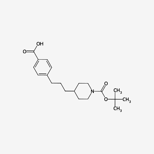 CC(C)(C)OC(=O)N1CCC(CCCc2ccc(C(=O)O)cc2)CC1